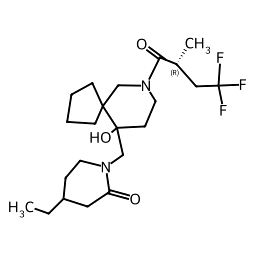 CCC1CCN(CC2(O)CCN(C(=O)[C@H](C)CC(F)(F)F)CC23CCCC3)C(=O)C1